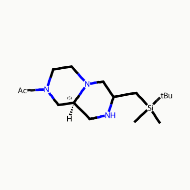 CC(=O)N1CCN2CC(C[Si](C)(C)C(C)(C)C)NC[C@H]2C1